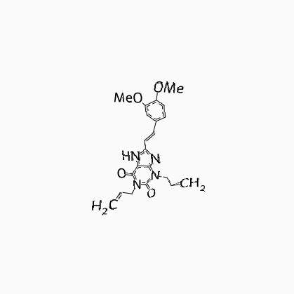 C=CCn1c(=O)c2[nH]c(/C=C/c3ccc(OC)c(OC)c3)nc2n(CC=C)c1=O